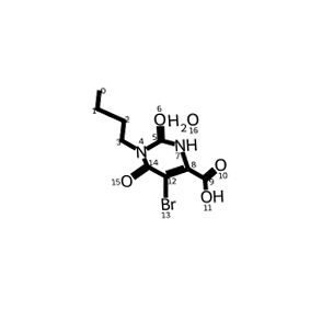 CCCCn1c(=O)[nH]c(C(=O)O)c(Br)c1=O.O